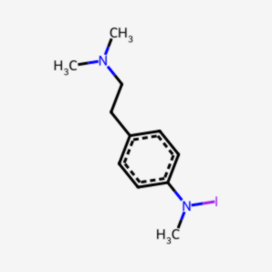 CN(C)CCc1ccc(N(C)I)cc1